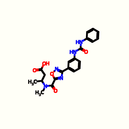 CC(CC(=O)O)N(C)C(=O)c1nc(-c2cccc(NC(=O)Nc3ccccc3)c2)no1